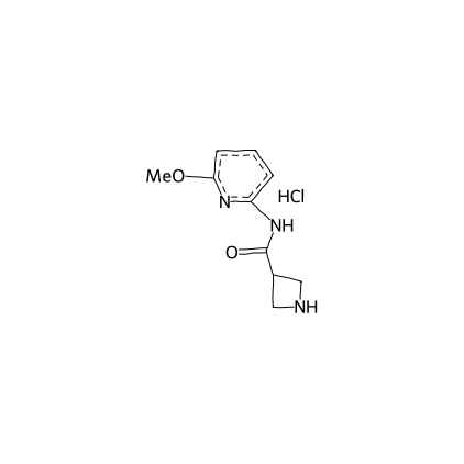 COc1cccc(NC(=O)C2CNC2)n1.Cl